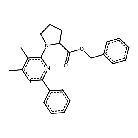 Cc1nc(-c2ccccc2)nc(N2CCCC2C(=O)OCc2ccccc2)c1C